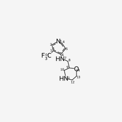 FC(F)(F)c1cnccc1NCC1CNCCO1